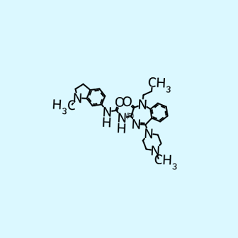 CCCN1C(=O)[C@H](NC(=O)Nc2ccc3c(c2)N(C)CC3)N=C(N2CCN(C)CC2)c2ccccc21